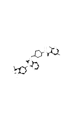 Cc1ncc(Cl)cc1C(=O)NC1CCC(Cn2c(=O)n(-c3ccc4[nH]nc(C)c4c3)c3ncccc32)CC1